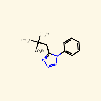 CCOC(=O)C(Cc1nnnn1-c1ccccc1)(C(=O)OCC)C(=O)OCC